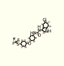 O=C(Nc1ccc(Oc2ccc(SC(F)(F)F)cc2)cc1)Nc1c[nH]c2ccc(Cl)cc12